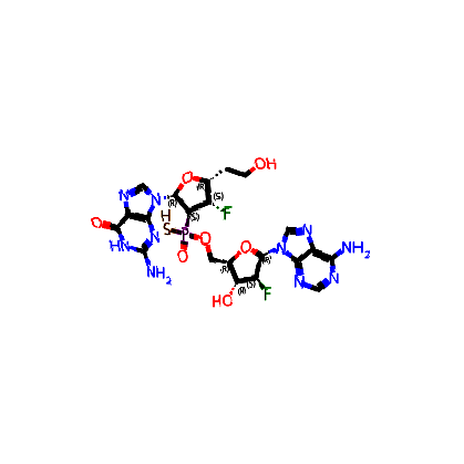 Nc1nc2c(ncn2[C@@H]2O[C@H](CCO)[C@H](F)[C@H]2P(=O)(S)OC[C@H]2O[C@@H](n3cnc4c(N)ncnc43)[C@@H](F)[C@@H]2O)c(=O)[nH]1